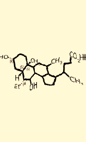 CC[C@H]1C(O)C2C3CCC(C(C)CCC(=O)O)C3C(C)CC2[C@@]2(C)CC[C@@H](O)C[C@@H]12